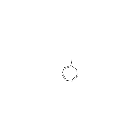 CC1=CC=CC=NC1